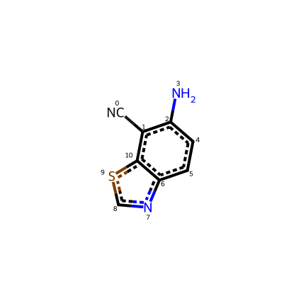 N#Cc1c(N)ccc2ncsc12